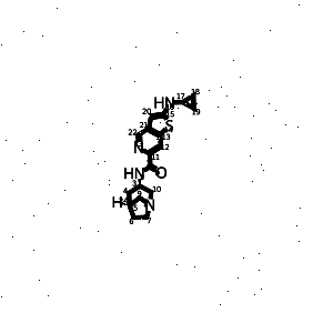 O=C(N[C@@H]1C[C@@H]2CCN(C2)C1)c1cc2sc(NC3CC3)cc2cn1